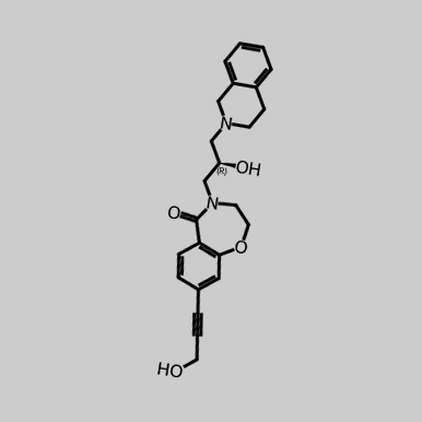 O=C1c2ccc(C#CCO)cc2OCCN1C[C@H](O)CN1CCc2ccccc2C1